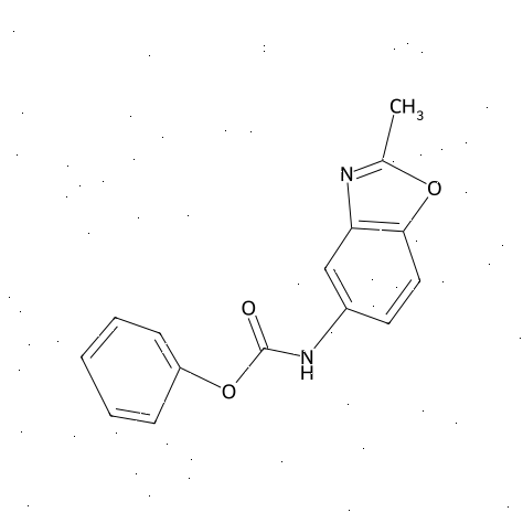 Cc1nc2cc(NC(=O)Oc3ccccc3)ccc2o1